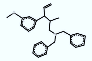 C=CC(c1cccc(OC)c1)C(C)CN(Cc1ccccc1)Cc1ccccc1